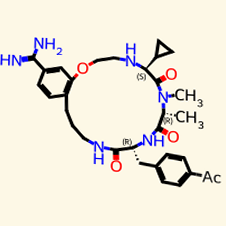 CC(=O)c1ccc(C[C@H]2NC(=O)[C@@H](C)N(C)C(=O)[C@H](C3CC3)NCCOc3cc(C(=N)N)ccc3CCCNC2=O)cc1